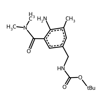 Cc1cc(CNC(=O)OC(C)(C)C)cc(C(=O)N(C)C)c1N